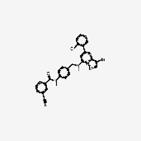 N#Cc1cccc(C(=O)Nc2ccc(CNc3cc(-c4ccccc4Cl)nc4c(Br)cnn34)cc2)c1